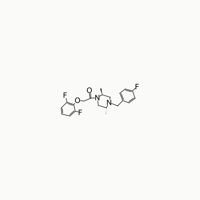 C[C@@H]1CN(C(=O)COc2c(F)cccc2F)[C@@H](C)CN1Cc1ccc(F)cc1